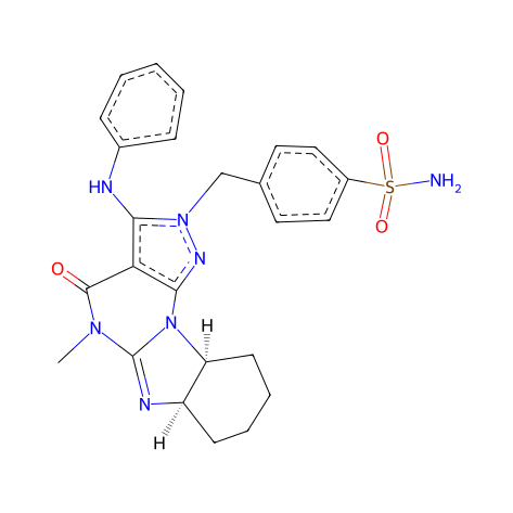 CN1C(=O)c2c(nn(Cc3ccc(S(N)(=O)=O)cc3)c2Nc2ccccc2)N2C1=N[C@@H]1CCCC[C@@H]12